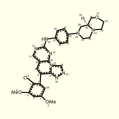 COc1cc(OC)c(Cl)c(-c2cc3cnc(Nc4ccc(N5CCN6CCOC[C@@H]6C5)cc4)nc3n3cnnc23)c1